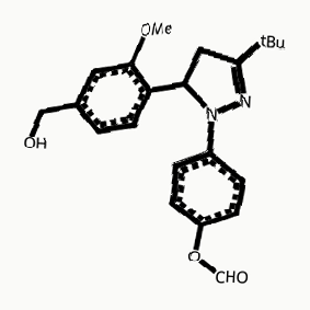 COc1cc(CO)ccc1C1CC(C(C)(C)C)=NN1c1ccc(OC=O)cc1